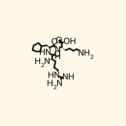 N=C(N)NCCC[C@H](N)C(=O)N[C@@H](CC1CCCCC1)C(=O)N[C@@H](CCCCN)C(=O)O